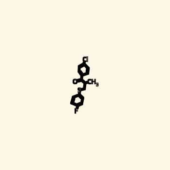 CC(CSc1ccc(F)cc1)C(=O)c1ccc(Cl)cc1